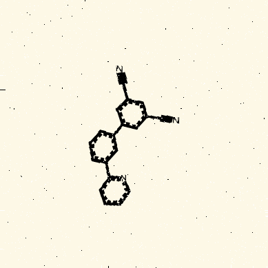 N#Cc1cc(C#N)cc(-c2cccc(-c3ccccn3)c2)c1